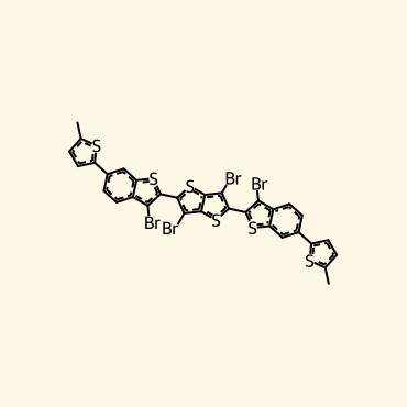 Cc1ccc(-c2ccc3c(Br)c(-c4sc5c(Br)c(-c6sc7cc(-c8ccc(C)s8)ccc7c6Br)sc5c4Br)sc3c2)s1